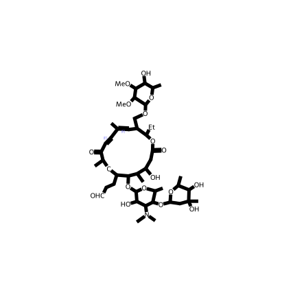 CCC1OC(=O)CC(O)C(C)C(OC2OC(C)C(OC3CC(C)(O)C(O)C(C)O3)C(N(C)C)C2O)C(CCC=O)CC(C)C(=O)/C=C/C(C)=C/C1COC1OC(C)C(O)C(OC)C1OC